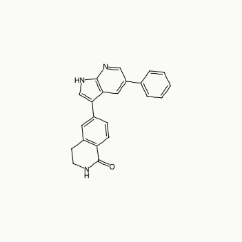 O=C1NCCc2cc(-c3c[nH]c4ncc(-c5ccccc5)cc34)ccc21